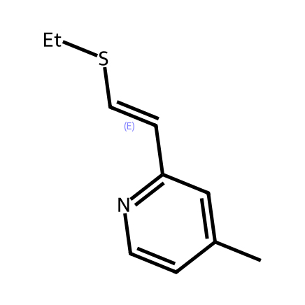 CCS/C=C/c1cc(C)ccn1